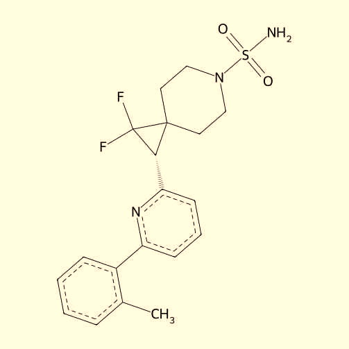 Cc1ccccc1-c1cccc([C@@H]2C(F)(F)C23CCN(S(N)(=O)=O)CC3)n1